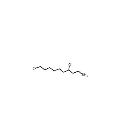 [SiH3]CCC(Cl)CCCCCCCl